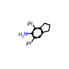 CC(C)c1cc2c(c(C(C)C)c1N)CCC2